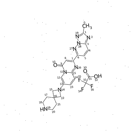 Cc1nc2ccc(-c3cc(=O)n4cc(N5CC6(CCNCC6)C5)ccc4n3)nn2n1.O=C(O)C(F)(F)F